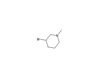 CN1CC[CH]C(Br)C1